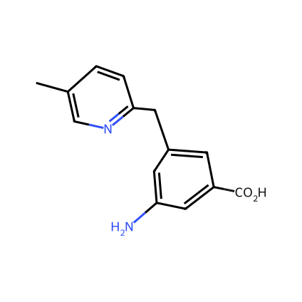 Cc1ccc(Cc2cc(N)cc(C(=O)O)c2)nc1